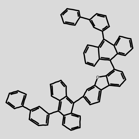 c1ccc(-c2cccc(-c3c4ccccc4c(-c4ccc5c(c4)oc4c(-c6c7ccccc7c(-c7cccc(-c8ccccc8)c7)c7ccccc67)cccc45)c4ccccc34)c2)cc1